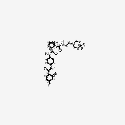 O=C(Nc1ccc(NC(=O)c2nc[nH]c2C(=O)NCCN2CCC(F)(F)CC2)cc1)c1ccc(F)cc1Br